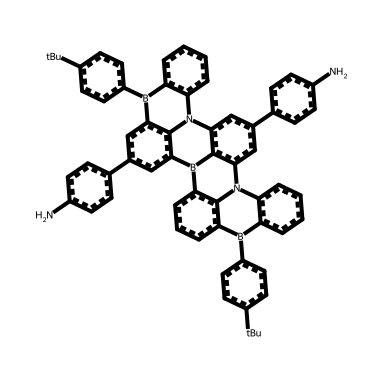 CC(C)(C)c1ccc(B2c3ccccc3N3c4cc(-c5ccc(N)cc5)cc5c4B(c4cccc2c43)c2cc(-c3ccc(N)cc3)cc3c2N5c2ccccc2B3c2ccc(C(C)(C)C)cc2)cc1